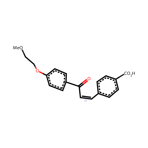 COCCOc1ccc(C(=O)/C=C\c2ccc(C(=O)O)cc2)cc1